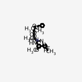 COc1cc(C(=N)/C(C#N)=N\NC(C)OC(=O)OCC(C)(C)C(=O)OCC2=CCCC=C2)cc(-c2cc(C(C)(F)F)ccn2)c1